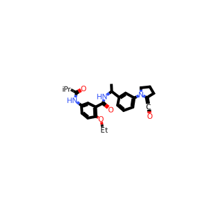 CCOc1ccc(NC(=O)C(C)C)cc1C(=O)NC(C)c1cccc(N2CCCC2=C=O)c1